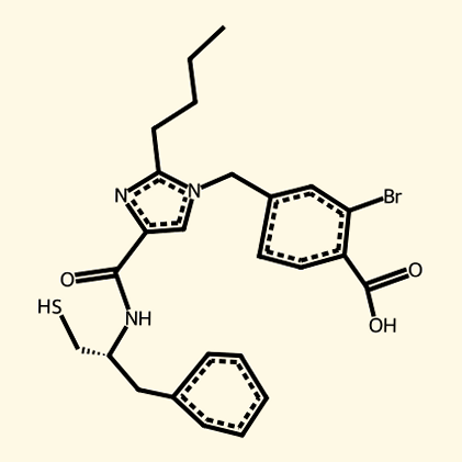 CCCCc1nc(C(=O)N[C@@H](CS)Cc2ccccc2)cn1Cc1ccc(C(=O)O)c(Br)c1